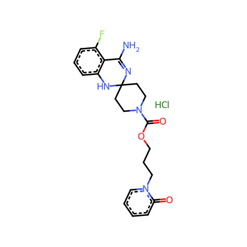 Cl.NC1=NC2(CCN(C(=O)OCCCn3ccccc3=O)CC2)Nc2cccc(F)c21